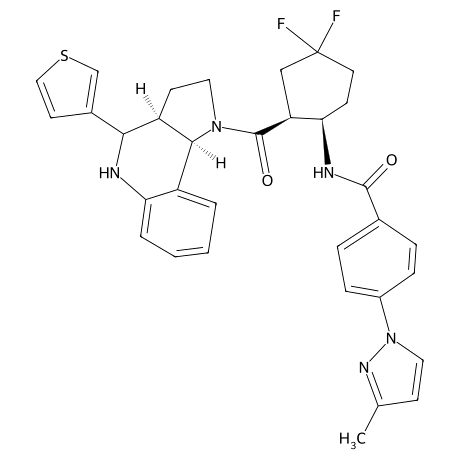 Cc1ccn(-c2ccc(C(=O)N[C@@H]3CCC(F)(F)C[C@@H]3C(=O)N3CC[C@@H]4C(c5ccsc5)Nc5ccccc5[C@@H]43)cc2)n1